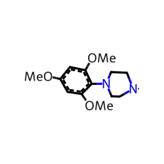 COc1cc(OC)c(N2CC[N]CC2)c(OC)c1